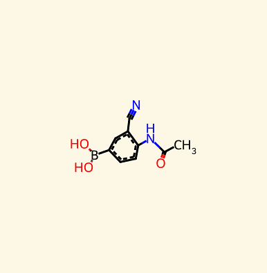 CC(=O)Nc1ccc(B(O)O)cc1C#N